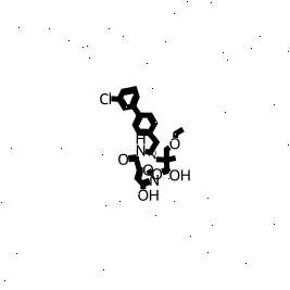 CCOCC(C)(C[C@@H](Cc1ccc(-c2cccc(Cl)c2)cc1)NC(=O)c1cc(O)no1)C(=O)O